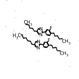 CCCCCCCc1cnc(-c2ccc(CCCCCC)c(F)c2)nc1.CCCCCCc1cnc(-c2ccc(CCCCCC)c(F)c2)nc1